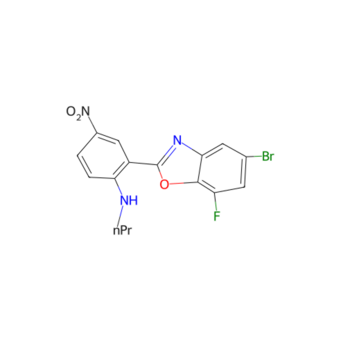 CCCNc1ccc([N+](=O)[O-])cc1-c1nc2cc(Br)cc(F)c2o1